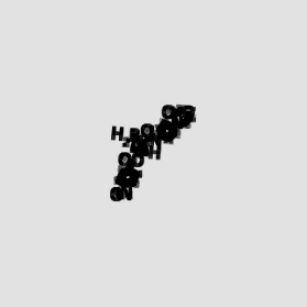 BN1C[C@@H](OC(=O)c2ccc(N=O)cc2)C[C@@H]1C(=O)Nc1ccc(N2CCOCC2=O)cc1